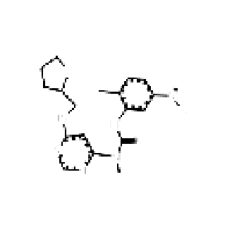 Cc1ccc([N+](=O)[O-])cc1NC(=O)N(C)c1cc(NCC2CCCO2)ncn1